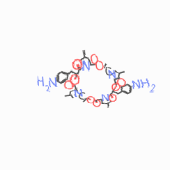 CC(C)CC1C(=O)OC(Cc2ccc(N)cc2)C(=O)N(C)C(CC(C)C)C(=O)OC(C)CN(C)C(CC(C)C)C(=O)OC(Cc2ccc(N)cc2)C(=O)N(C)C(CC(C)C)C(=O)OC(C)CN1C